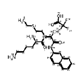 CCSCCN(C(=O)[C@H](N)CCCCN)[C@@H](C)C(=O)Nc1ccc2ccccc2c1.O=C(O)C(F)(F)F